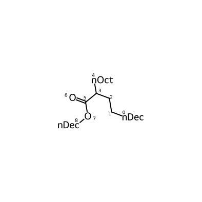 CCCCCCCCCCCCC(CCCCCCCC)C(=O)OCCCCCCCCCC